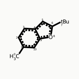 Cc1ccc2cc(C(C)(C)C)oc2c1